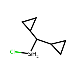 Cl[SiH2]C(C1CC1)C1CC1